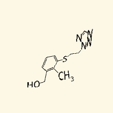 Cc1c(CO)cccc1SCCn1ncnn1